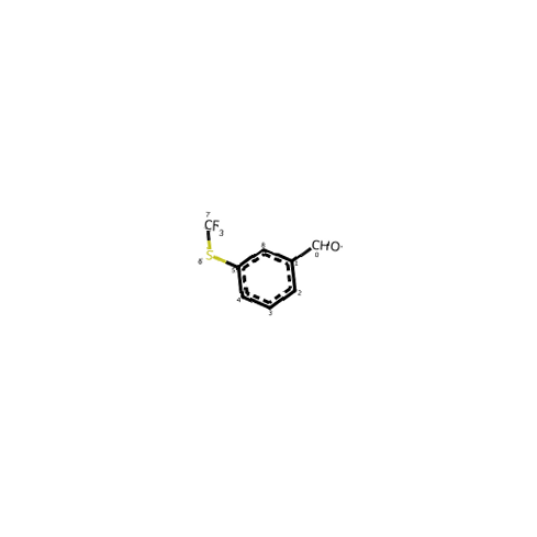 O=[C]c1cccc(SC(F)(F)F)c1